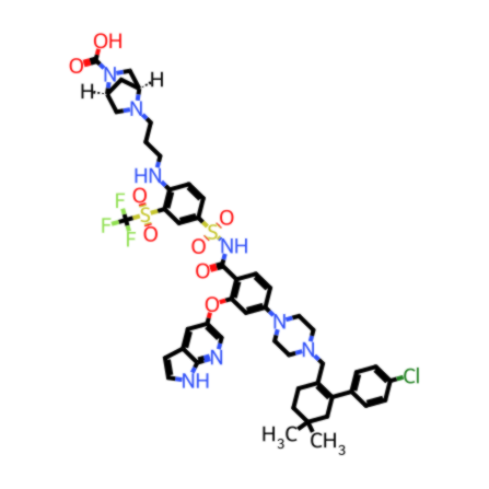 CC1(C)CCC(CN2CCN(c3ccc(C(=O)NS(=O)(=O)c4ccc(NCCCN5C[C@@H]6C[C@H]5CN6C(=O)O)c(S(=O)(=O)C(F)(F)F)c4)c(Oc4cnc5[nH]ccc5c4)c3)CC2)=C(c2ccc(Cl)cc2)C1